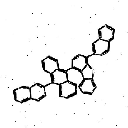 c1ccc2cc(-c3c4ccccc4c(-c4ccc(-c5ccc6ccccc6c5)c5oc6ccccc6c45)c4ccccc34)ccc2c1